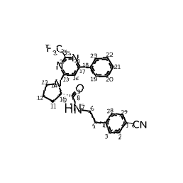 N#Cc1ccc(CCNC(=O)[C@@H]2CCCN2c2cc(-c3ccccc3)nc(C(F)(F)F)n2)cc1